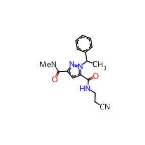 CNC(=O)c1cc(C(=O)NCCC#N)n(C(C)c2ccccc2)n1